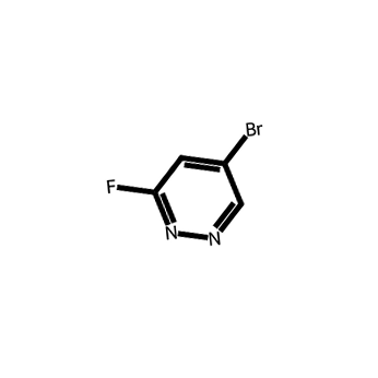 Fc1cc(Br)cnn1